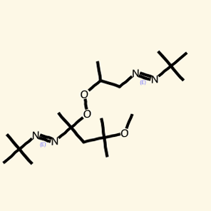 COC(C)(C)CC(C)(/N=N/C(C)(C)C)OOC(C)C/N=N/C(C)(C)C